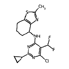 Cc1nc2c(s1)CCCC2Nc1nc(C2CC2)nc(Cl)c1C(F)F